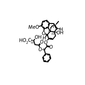 COc1ccc2c3c1O[C@H]1C(OC(=O)[C@@H](OC(=O)C[C@H](O)C(=O)O)c4ccccc4)=CC[C@@]4(O)[C@@H](C2)N(C)CC[C@]314